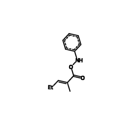 CCC=C(C)C(=O)ONc1ccccc1